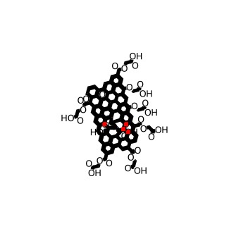 O=C(O)COC(=O)C1=CC2=c3cc(C(=O)OCC(=O)O)cc4c3=C3C5C(=C4)C=c4cc6cc7c8c9c%10c%11c%12c(c4C5(OCC(=O)O)C4C%12(OCO)c5c%12c-%11c%11c(c(OCC(=O)O)c%12cc%12c(C(=O)OCC(=O)O)c%13ccc1c1c%13c(c5%12)C45OC21C35)C=C1C(OCC(=O)O)=c2cc(C(=O)OCC(=O)O)cc3c2=C2C1C%11C=%10C14OC21C(=C3)C1=C(C=84)C2(OC2C=C1)C7C(=O)OCC(=O)O)c69